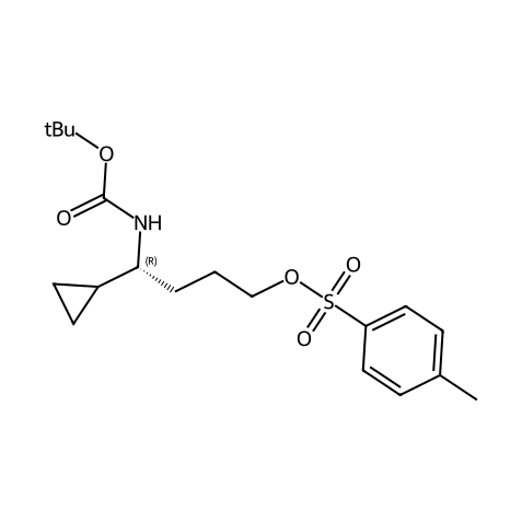 Cc1ccc(S(=O)(=O)OCCC[C@@H](NC(=O)OC(C)(C)C)C2CC2)cc1